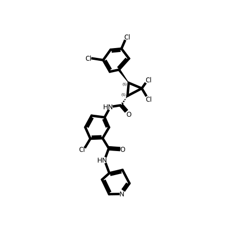 O=C(Nc1ccncc1)c1cc(NC(=O)[C@@H]2[C@@H](c3cc(Cl)cc(Cl)c3)C2(Cl)Cl)ccc1Cl